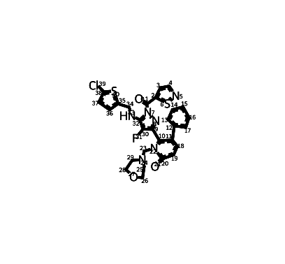 O=C(c1ccns1)n1nc(-c2c(-c3ccccc3)ccc(=O)n2CN2CCOCC2)c(F)c1NCc1ccc(Cl)s1